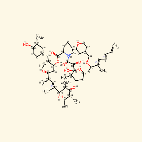 C=C/C=C/C=C(\C)C(C[C@@H]1CC[C@@H](C)[C@](O)(C(=O)C(=O)N2CCCCC2C(=O)O[C@@H](CC(=O)[C@H](C)/C=C(\C)[C@@H](O)[C@@H](OC)C(=O)[C@H](C)CC(C)C)[C@H](C)C[C@@H]2CC[C@@H](O)[C@H](OC)C2)O1)OCC1CCOCC1